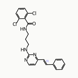 O=C(NCCCNc1nccc(/C=C/c2ccccc2)n1)c1c(Cl)cccc1Cl